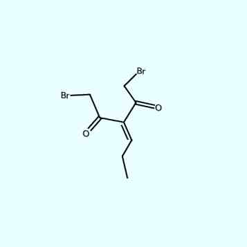 CCC=C(C(=O)CBr)C(=O)CBr